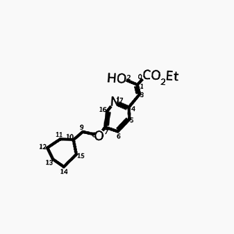 CCOC(=O)/C(O)=C/c1ccc(OCC2CCCCC2)cn1